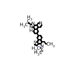 CCCc1c(/N=C(\C)SC)c2ccsc2c2cc(-c3ccc4c(c3)c3ccncc3c3nc(C(C)C)[nH]c43)ccc12